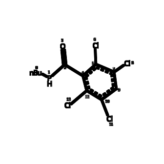 CCCCPC(=O)c1c(Cl)c(Cl)cc(Cl)c1Cl